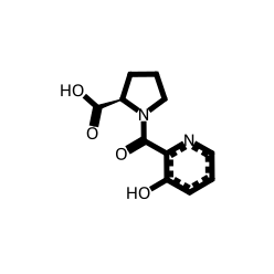 O=C(O)[C@H]1CCCN1C(=O)c1ncccc1O